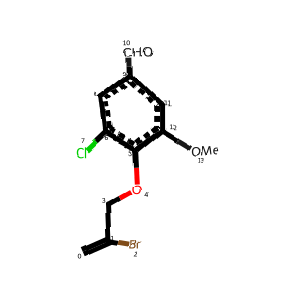 C=C(Br)COc1c(Cl)cc(C=O)cc1OC